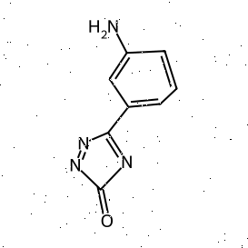 Nc1cccc(C2=NC(=O)N=N2)c1